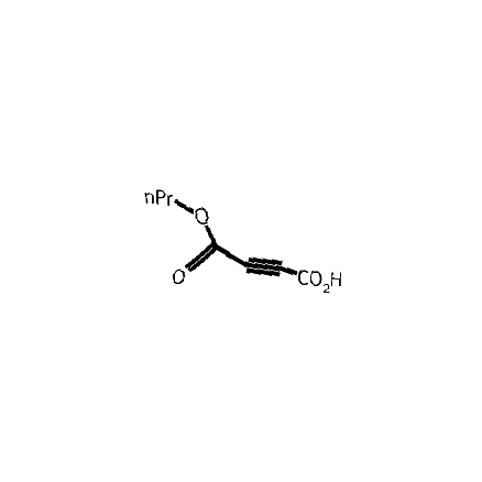 CCCOC(=O)C#CC(=O)O